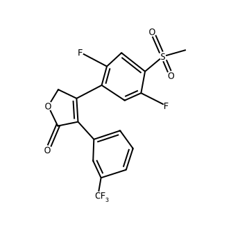 CS(=O)(=O)c1cc(F)c(C2=C(c3cccc(C(F)(F)F)c3)C(=O)OC2)cc1F